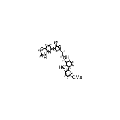 COc1cccc(-c2cccc(CNCC[C@H]3CN(c4ccc5c(n4)NC(=O)CO5)C(=O)O3)c2O)n1